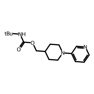 CC(C)(C)NC(=O)OCC1CCN(c2cccnc2)CC1